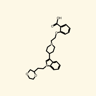 O=C(O)c1ccccc1OCCN1CCC(c2cn(CCC3COCCO3)c3ccccc23)CC1